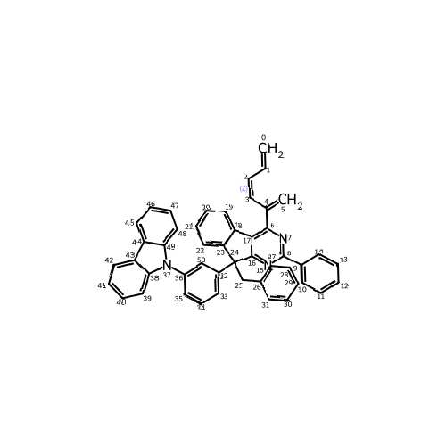 C=C/C=C\C(=C)c1nc(-c2ccccc2)nc2c1-c1ccccc1C2(Cc1ccccc1)c1cccc(-n2c3ccccc3c3ccccc32)c1